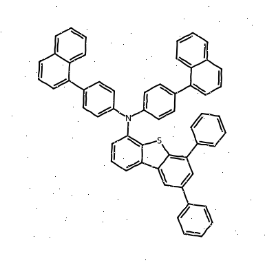 c1ccc(-c2cc(-c3ccccc3)c3sc4c(N(c5ccc(-c6cccc7ccccc67)cc5)c5ccc(-c6cccc7ccccc67)cc5)cccc4c3c2)cc1